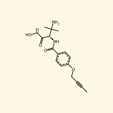 CC#CCOc1ccc(C(=O)N[C@@H](C(=O)NO)C(C)(C)N)cc1